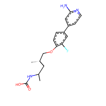 CC(C[C@H](C)COc1ccc(-c2ccnc(N)c2)cc1F)NC(=O)O